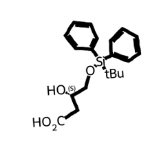 CC(C)(C)[Si](OC[C@@H](O)CC(=O)O)(c1ccccc1)c1ccccc1